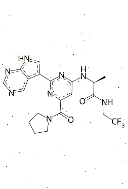 C[C@H](Nc1cc(C(=O)N2CCCC2)nc(-c2c[nH]c3ncncc23)n1)C(=O)NCC(F)(F)F